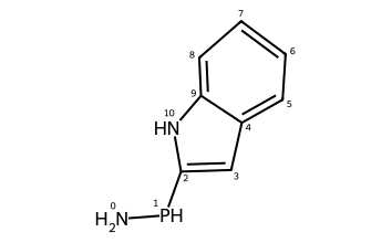 NPc1cc2ccccc2[nH]1